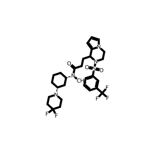 CN(C(=O)CCC1c2cccn2CCN1S(=O)(=O)c1cccc(C(F)(F)F)c1)[C@H]1CCC[C@@H](N2CCC(F)(F)CC2)C1